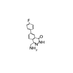 NCc1n[nH]c(=O)c2cc(-c3ccc(F)cc3)ccc12